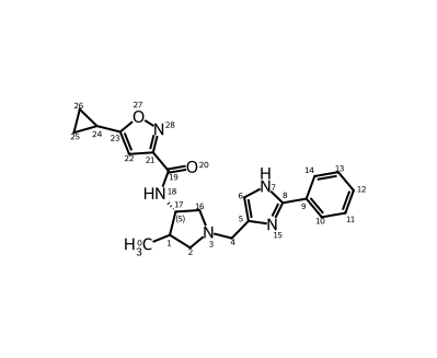 CC1CN(Cc2c[nH]c(-c3ccccc3)n2)C[C@H]1NC(=O)c1cc(C2CC2)on1